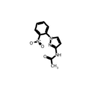 CC(=O)Nc1ccn(-c2ccccc2[N+](=O)[O-])n1